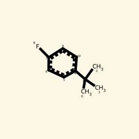 CC(C)(C)c1c[c]c(F)cc1